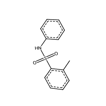 Cc1ccccc1S(=O)(=O)Nc1ccccc1